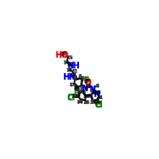 CN1C(=O)N(c2c(F)cc(NCCNCCO)cc2F)c2cc(Cl)ccc2-c2cc(Cl)cnc21